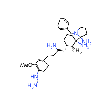 C=C1[C@H](/C=C(\N)CCC2=CC(OC)=C(NCN)CC2)CCC[C@]1(N)[C@@]1(N)CCCN1CC1=CCCC=C1